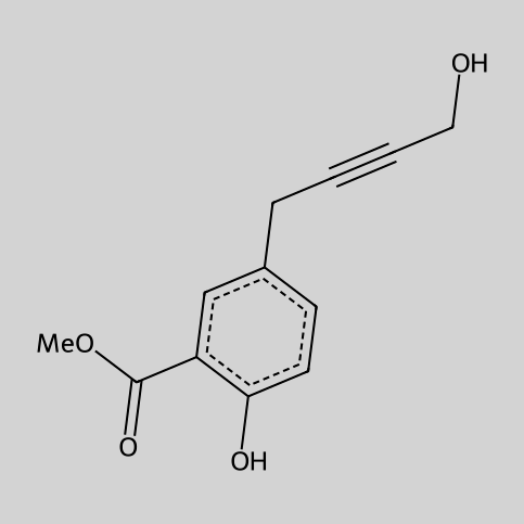 COC(=O)c1cc(CC#CCO)ccc1O